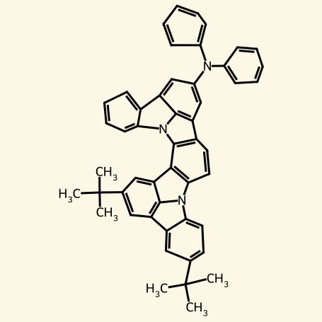 CC(C)(C)c1ccc2c(c1)c1cc(C(C)(C)C)cc3c4c(ccc5c6cc(N(c7ccccc7)c7ccccc7)cc7c8ccccc8n(c76)c54)n2c13